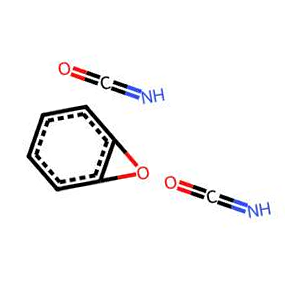 N=C=O.N=C=O.c1ccc2c(c1)O2